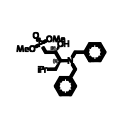 COP(=O)(C[C@H](O)[C@H](CC(C)C)N(Cc1ccccc1)Cc1ccccc1)OC